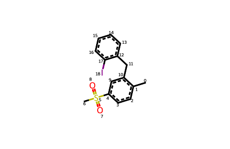 Cc1ccc(S(C)(=O)=O)cc1Cc1ccccc1I